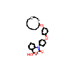 CC(=O)N(c1ccc(Oc2ccc(OC3CCCCCCCCCCC3)cc2)cc1)c1ccccc1C(=O)O